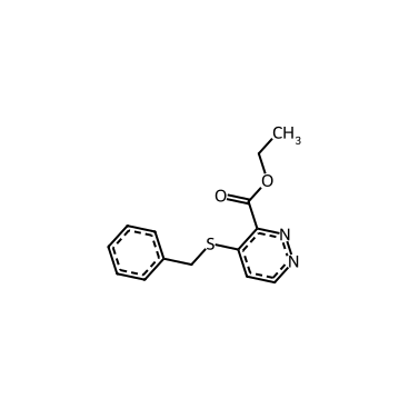 CCOC(=O)c1nnccc1SCc1ccccc1